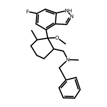 COC1(c2cc(F)cc3[nH]ncc23)C(C)CCCC1CN(C)Cc1ccccc1